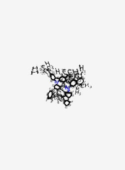 Cc1ccccc1-c1cc2c3c(c1)-n1c4ccc(C(C)(C)C)cc4c4cc(C(C)(C)C)cc(c41)B3N(c1cc3c(cc1C)C(C)(C)CCC3(C)C)c1ccc3c(c1-2)C(C)(C)c1ccccc1-3